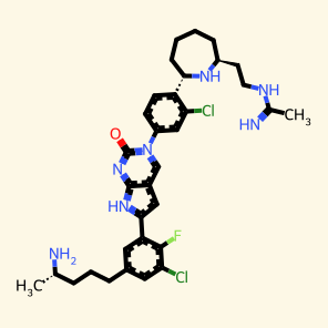 CC(=N)NCC[C@@H]1CCCC[C@@H](c2ccc(-n3cc4cc(-c5cc(CCC[C@H](C)N)cc(Cl)c5F)[nH]c4nc3=O)cc2Cl)N1